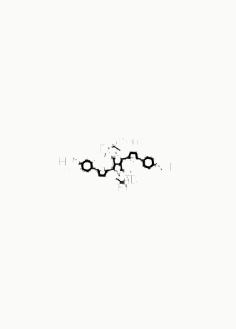 CCCCCC(CC)CN1C(=O)C2=C(c3ccc(-c4ccc(N)cc4)s3)N(CC(CC)CCCC)C(=O)C2=C1c1ccc(-c2ccc(N)cc2)s1